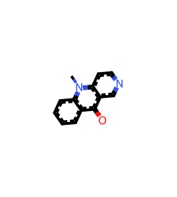 Cn1c2ccccc2c(=O)c2cnccc21